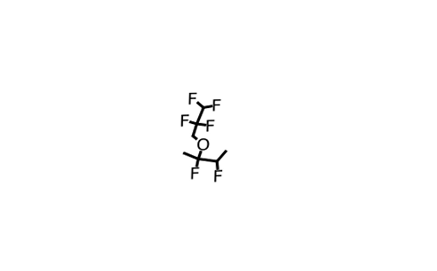 CC(F)C(C)(F)OCC(F)(F)C(F)F